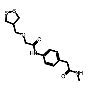 CNC(=O)Cc1ccc(NC(=O)COCC2CSSC2)cc1